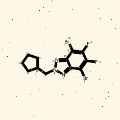 Fc1c(F)c(Br)c2nn(CC3CCCC3)nc2c1Br